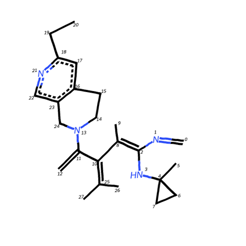 C=N/C(NC1(C)CC1)=C(\C)C(C(=C)N1CCc2cc(CC)ncc2C1)=C(C)C